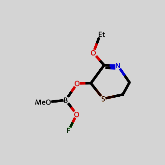 CCOC1=NCCSC1OB(OC)OF